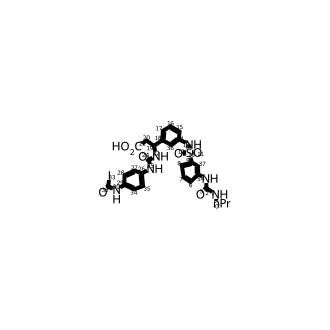 CCCNC(=O)Nc1cccc(S(=O)(=O)Nc2cccc(C(CC(=O)O)NC(=O)Nc3ccc(NC(=O)I)cc3)c2)c1